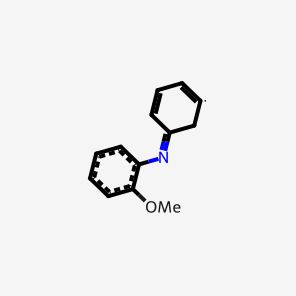 COc1ccccc1/N=C1\C=CC=[C]C1